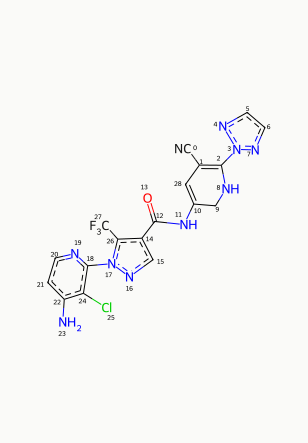 N#CC1=C(n2nccn2)NCC(NC(=O)c2cnn(-c3nccc(N)c3Cl)c2C(F)(F)F)=C1